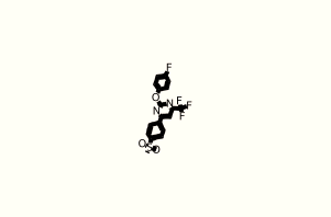 CS(=O)(=O)c1ccc(-c2cc(C(F)(F)F)nc(Oc3ccc(F)cc3)n2)cc1